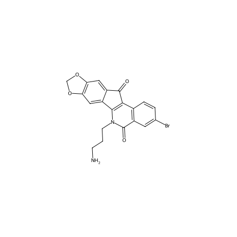 NCCCn1c2c(c3ccc(Br)cc3c1=O)C(=O)c1cc3c(cc1-2)OCO3